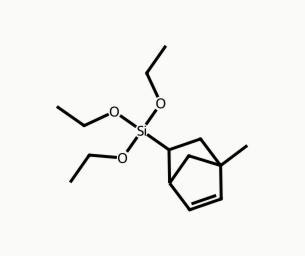 CCO[Si](OCC)(OCC)C1CC2(C)C=CC1C2